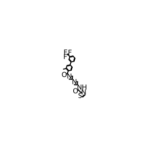 Cc1cc(-c2cccc(C(F)(F)F)c2)ccc1C(=O)N1CC(N2CC(NC(=O)c3nccs3)C2)C1